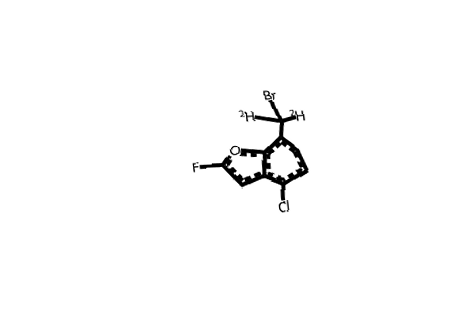 [2H]C([2H])(Br)c1ccc(Cl)c2cc(F)oc12